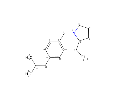 CCC1CCCN1Cc1ccc(CC(C)C)cc1